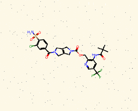 CC(C)(C)C(=O)Nc1cc(C(F)(F)F)cnc1COC(=O)N1CC2=C(C1)CN(C(=O)c1ccc(S(N)(=O)=O)c(Cl)c1)C2